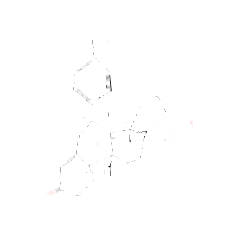 Cc1ccc([C@H]2CC3=CC(=O)CC[C@]3(C)[C@H]3CC[C@]4(C)[C@@H](O)CC[C@H]4[C@H]23)cc1